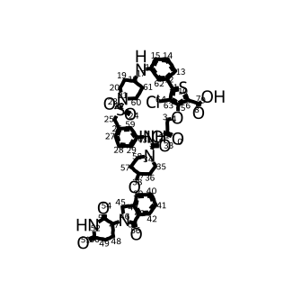 O=C(O)COc1c(C(=O)O)sc(-c2cccc(NC3CCN(S(=O)(=O)Cc4cccc(NC(=O)N5CCC(Oc6cccc7c6CN(C6CCC(=O)NC6=O)C7=O)CC5)c4)CC3)c2)c1Cl